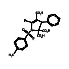 Cc1ccc(S(=O)(=O)N2C(F)=C(C(=O)O)C(c3ccccc3)C2(C(=O)O)C(=O)O)cc1